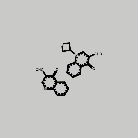 O=Cc1c[nH]c2ccccc2c1=O.O=Cc1cn(C2COC2)c2ccccc2c1=O